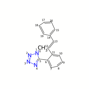 Cn1nnnc1-c1ccccc1C=Cc1ccccc1